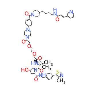 Cc1ncsc1-c1ccc(CNC(=O)[C@@H]2C[C@@H](O)CN2C(=O)[C@@H](NC(=O)COCCOCC(=O)N2CCN(c3ccc(C(=O)N4CCC(CCCCNC(=O)/C=C/c5cccnc5)CC4)cc3)CC2)C(C)(C)C)cc1